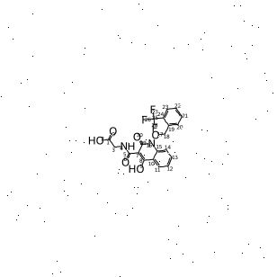 O=C(O)CNC(=O)c1c(O)c2ccccc2n(OCc2ccccc2C(F)(F)F)c1=O